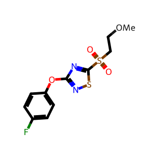 COCCS(=O)(=O)c1nc(Oc2ccc(F)cc2)ns1